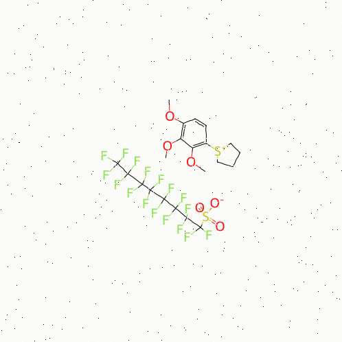 COc1ccc([S+]2CCCC2)c(OC)c1OC.O=S(=O)([O-])C(F)(F)C(F)(F)C(F)(F)C(F)(F)C(F)(F)C(F)(F)C(F)(F)C(F)(F)F